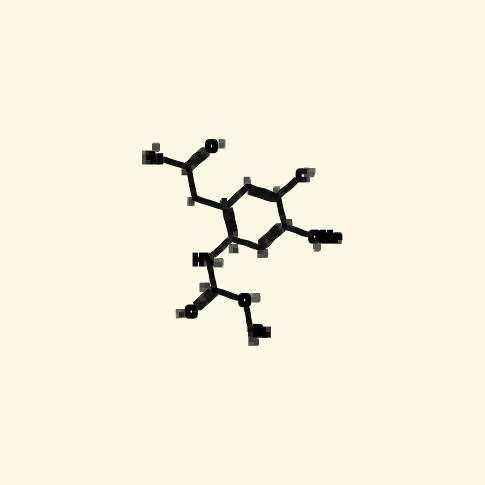 CCC(C)C(=O)Cc1cc(Cl)c(OC)cc1NC(=O)OC(C)(C)C